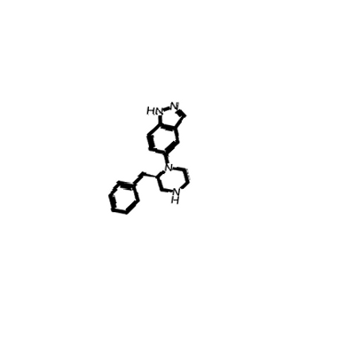 c1ccc(C[C@@H]2CNCCN2c2ccc3[nH]ncc3c2)cc1